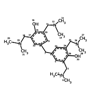 CN(C)Cc1cc(Cc2cc(CN(C)C)c(O)c(CN(C)C)c2)cc(CN(C)C)c1O